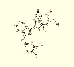 OC[C@H]1O[C@@H]2OC(c3nn(Cc4ccc(Cl)c(Cl)c4)c4ccccc34)=N[C@@H]2C(O)[C@@H]1O